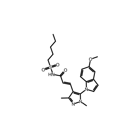 CCCCCS(=O)(=O)NC(=O)C=Cc1c(C)nn(C)c1-n1ccc2cc(OC)ccc21